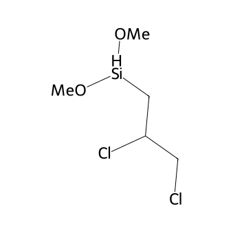 CO[SiH](CC(Cl)CCl)OC